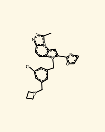 Cc1nnc2ccc3c(cc(-c4ncco4)n3Cc3cc(Cl)cc(CN4CCC4)c3)n12